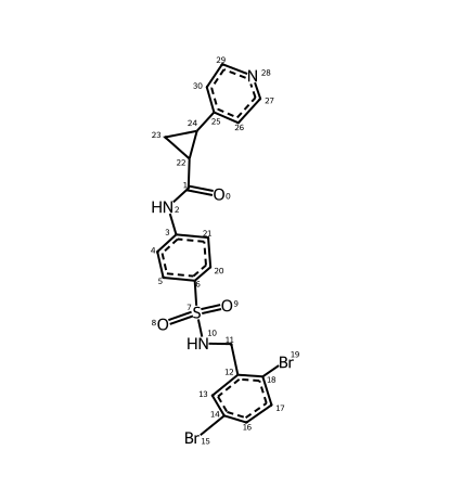 O=C(Nc1ccc(S(=O)(=O)NCc2cc(Br)ccc2Br)cc1)C1CC1c1ccncc1